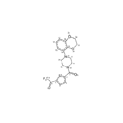 O=C(c1ccc(C(=O)C(F)(F)F)s1)N1CCN(c2cccc3c2OCCO3)CC1